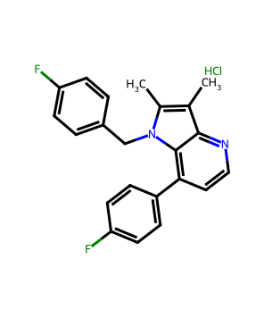 Cc1c(C)n(Cc2ccc(F)cc2)c2c(-c3ccc(F)cc3)ccnc12.Cl